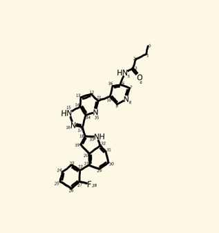 CCCC(=O)Nc1cncc(-c2ccc3[nH]nc(-c4cc5c(-c6ccccc6F)cccc5[nH]4)c3n2)c1